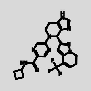 O=C(NC1CCC1)c1cnc(N2CCc3[nH]cnc3[C@H]2c2cc3c(C(F)(F)F)cccn3n2)cn1